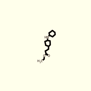 CCOC(=O)CCC1CCC(NC2CCCCC2)CC1